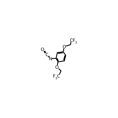 O=C=Nc1cc(OCC(F)(F)F)ccc1OCC(F)(F)F